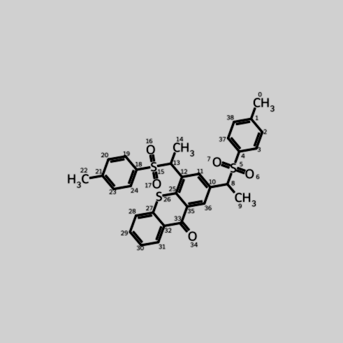 Cc1ccc(S(=O)(=O)C(C)c2cc(C(C)S(=O)(=O)c3ccc(C)cc3)c3sc4ccccc4c(=O)c3c2)cc1